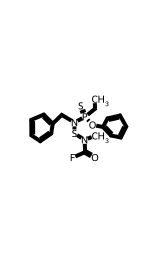 CCP(=S)(Oc1ccccc1)N(Cc1ccccc1)SN(C)C(=O)F